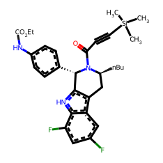 CCCC[C@H]1Cc2c([nH]c3c(F)cc(F)cc23)[C@H](c2ccc(NC(=O)OCC)cc2)N1C(=O)C#C[Si](C)(C)C